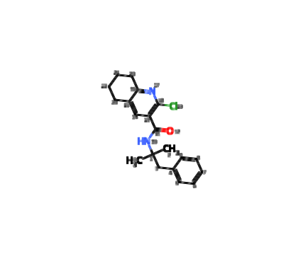 CC(C)(Cc1ccccc1)NC(=O)c1cc2c(nc1Cl)CCCC2